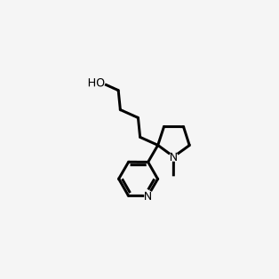 CN1CCCC1(CCCCO)c1cccnc1